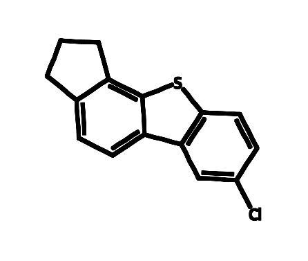 Clc1ccc2sc3c4c(ccc3c2c1)CCC4